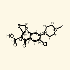 CN1CCN(c2cc3c(cc2Cl)c(=O)c(C(=O)O)c2n3CS2)CC1